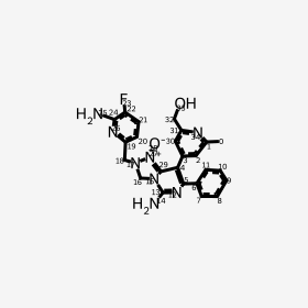 Cc1cc(C2=C(c3ccccc3)N=C(N)N3CN(Cc4ccc(F)c(N)n4)[N+]([O-])=C23)cc(CO)n1